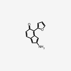 NC1=CC2=C(c3ccco3)C(=O)C=CC2=C1